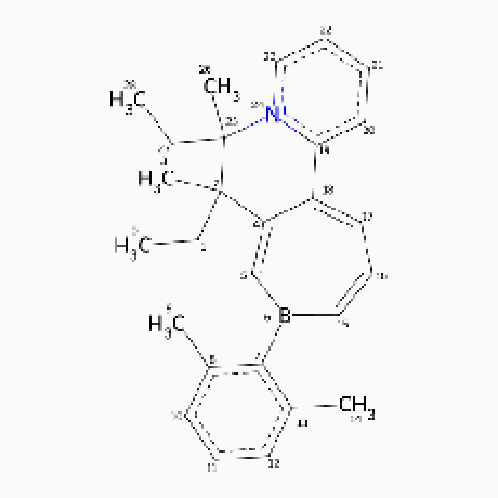 CCC1(C)C2=CB(c3c(C)cccc3C)C=CC=C2c2cccc[n+]2C1(C)CC